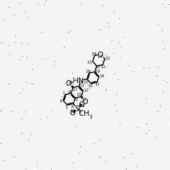 CS(=O)(=O)c1cccc2c1C(=O)C=C(Nc1cccc(C3CCOCC3)c1)C2=O